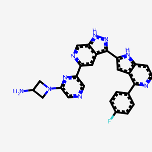 NC1CN(c2cncc(-c3cc4c(-c5cc6c(-c7ccc(F)cc7)nccc6[nH]5)n[nH]c4cn3)n2)C1